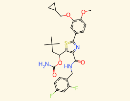 COc1ccc(-c2nc(C(=O)NCc3ccc(F)cc3F)c(C(CC(C)(C)C)OC(N)=O)s2)cc1OCC1CC1